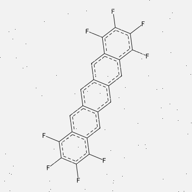 Fc1c(F)c(F)c2cc3cc4cc5c(F)c(F)c(F)c(F)c5cc4cc3cc2c1F